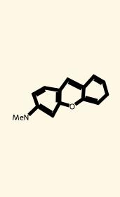 CNc1ccc2c(c1)OC1=CCC=CC1=C2